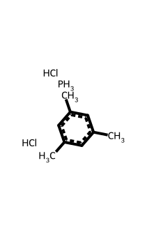 Cc1cc(C)cc(C)c1.Cl.Cl.P